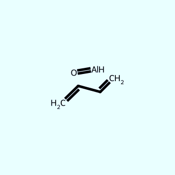 C=CC=C.[O]=[AlH]